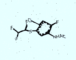 CC(=O)Nc1cc(SC(F)C(F)F)c(Cl)cc1F